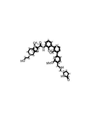 COc1nc(-c2ccnc(-c3cccc(NC(=O)c4nc5c(n4C)CCN(CCO)C5)c3C)c2Cl)ccc1CNC[C@@H]1CCC(=O)N1